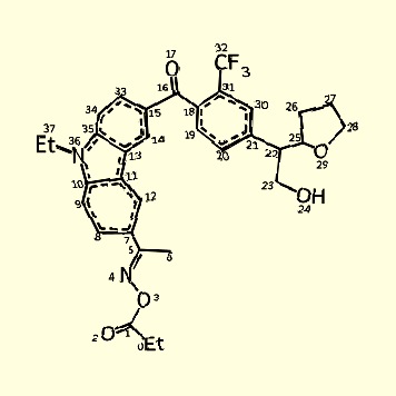 CCC(=O)O/N=C(\C)c1ccc2c(c1)c1cc(C(=O)c3ccc(C(CO)C4CCCO4)cc3C(F)(F)F)ccc1n2CC